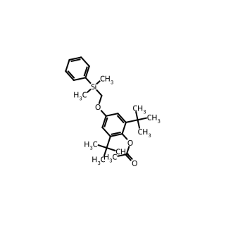 CC(=O)Oc1c(C(C)(C)C)cc(OC[Si](C)(C)c2ccccc2)cc1C(C)(C)C